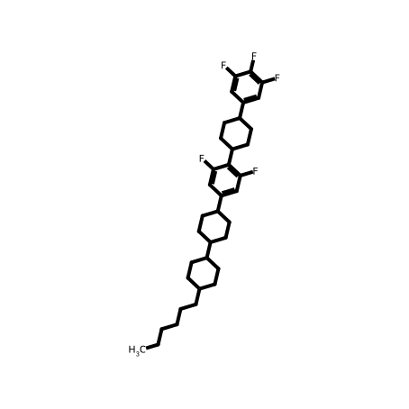 CCCCCCC1CCC(C2CCC(c3cc(F)c(C4CCC(c5cc(F)c(F)c(F)c5)CC4)c(F)c3)CC2)CC1